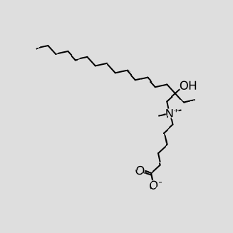 CCCCCCCCCCCCCCC(O)(CC)C[N+](C)(C)CCCCCC(=O)[O-]